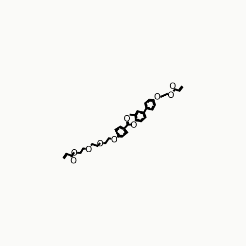 C=CC(=O)OCCOCCOCCOc1ccc(C(=O)Oc2ccc(-c3ccc(OCCOC(=O)C=C)cc3)cc2C)cc1